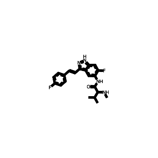 CNC(C(=O)Nc1cc2c(C=Cc3ccc(F)cc3)n[nH]c2cc1F)C(C)C